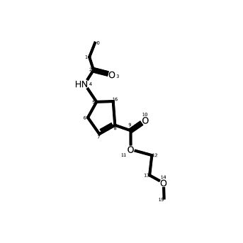 CCC(=O)NC1CC=C(C(=O)OCCOC)C1